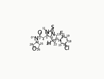 CN(C(=O)Cc1c2n(c(=S)n1C)C[C@@]1(c3cc(Cl)ccc3F)C[C@@H]21)C1CCOC1